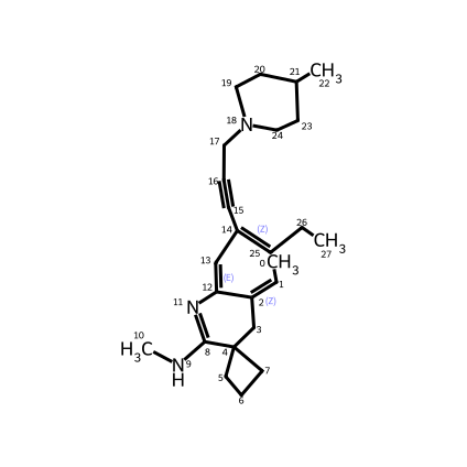 C/C=C1/CC2(CCC2)C(NC)=N/C1=C/C(C#CCN1CCC(C)CC1)=C/CC